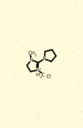 CN1CC[N+](C)=C1N1CCCC1.[Cl-]